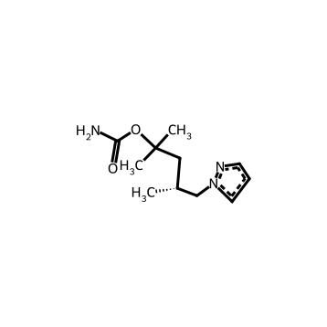 C[C@@H](Cn1cccn1)CC(C)(C)OC(N)=O